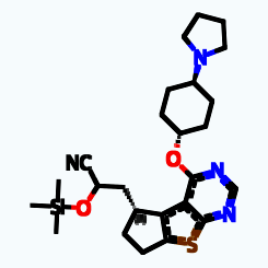 C[Si](C)(C)OC(C#N)C[C@H]1CCc2sc3ncnc(O[C@H]4CC[C@H](N5CCCC5)CC4)c3c21